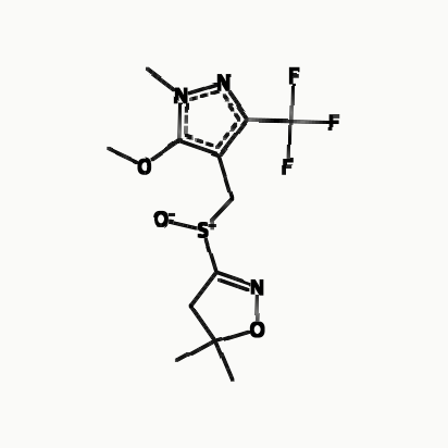 COc1c(C[S+]([O-])C2=NOC(C)(C)C2)c(C(F)(F)F)nn1C